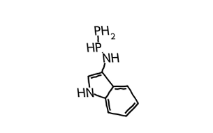 PPNc1c[nH]c2ccccc12